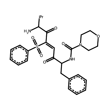 CC(C)C(N)C(=O)C(=CC(=O)C(Cc1ccccc1)NC(=O)N1CCOCC1)S(=O)(=O)c1ccccc1